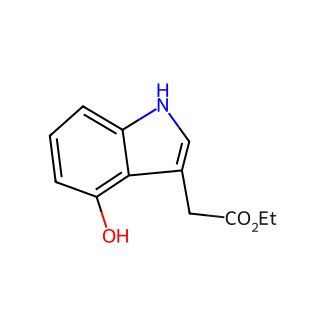 CCOC(=O)Cc1c[nH]c2cccc(O)c12